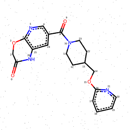 O=C1COc2ncc(C(=O)N3CCC(COc4ccccn4)CC3)cc2N1